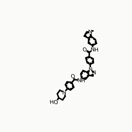 Cn1ccc2cc(NC(=O)c3ccc(-n4ncc5cc(NC(=O)c6ccc(N7CCC(O)CC7)cc6)ccc54)cc3)ccc21